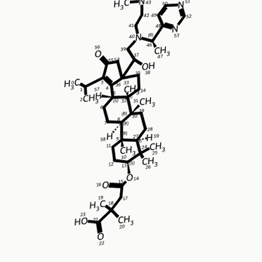 CC(C)C1=C2[C@H]3CC[C@@H]4[C@@]5(C)CC[C@H](OC(=O)CC(C)(C)C(=O)O)C(C)(C)[C@@H]5CC[C@@]4(C)[C@]3(C)CCC2(C(O)CN(CCN(C)C)[C@H](C)c2ccncn2)CC1=O